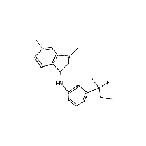 CCC(C)(F)c1cccc(NC2CC(C)c3cc(C)ccc32)c1